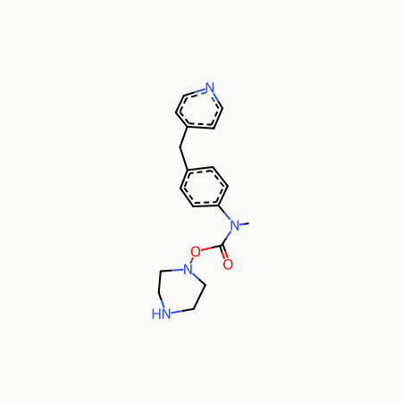 CN(C(=O)ON1CCNCC1)c1ccc(Cc2ccncc2)cc1